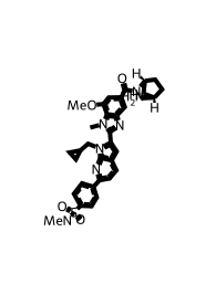 CNS(=O)(=O)c1ccc(-c2ccc3cc(-c4nc5cc(C(=O)N6C[C@H]7CC[C@@H]6[C@@H]7N)cc(OC)c5n4C)n(CC4CC4)c3n2)cc1